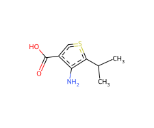 CC(C)c1scc(C(=O)O)c1N